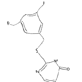 O=c1ccnc(SCc2cc(F)cc(F)c2)[nH]1